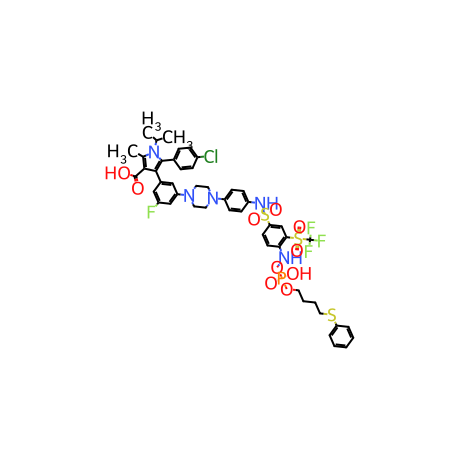 Cc1c(C(=O)O)c(-c2cc(F)cc(N3CCN(c4ccc(NS(=O)(=O)c5ccc(NOP(=O)(O)OCCCCSc6ccccc6)c(S(=O)(=O)C(F)(F)F)c5)cc4)CC3)c2)c(-c2ccc(Cl)cc2)n1C(C)C